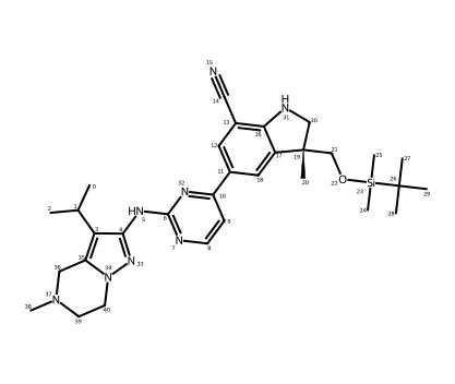 CC(C)c1c(Nc2nccc(-c3cc(C#N)c4c(c3)[C@@](C)(CO[Si](C)(C)C(C)(C)C)CN4)n2)nn2c1CN(C)CC2